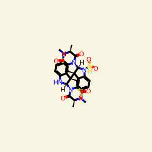 CN1C(=O)[C@@]23C[C@]4([C@]56C[C@@]78SS[C@@](C)(C(=O)N7[C@H]5N([SH](=O)=O)c5ccccc56)N(C)C8=O)c5ccccc5N[C@@H]4N2C(=O)[C@]1(C)SS3